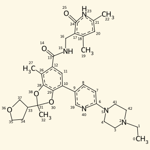 CCN1CCN(c2ccc(-c3cc(C(=O)NCc4c(C)cc(C)[nH]c4=O)c(C)c4c3OC(C)(C3CCOC3)O4)cn2)CC1